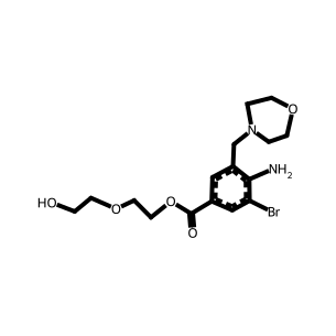 Nc1c(Br)cc(C(=O)OCCOCCO)cc1CN1CCOCC1